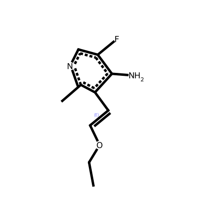 CCO/C=C/c1c(C)ncc(F)c1N